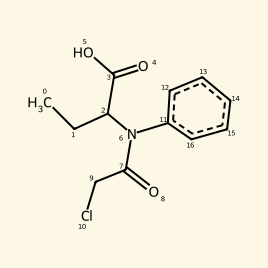 CCC(C(=O)O)N(C(=O)CCl)c1ccccc1